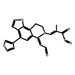 C/C(=C\N1CCc2c(cc(-c3ccoc3)c3ccoc23)/C1=C/C=O)C(=O)N=O